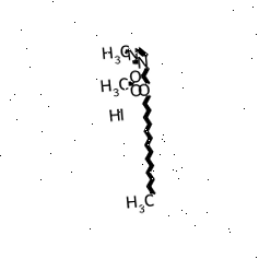 CCCCCCCCCCCCCCCCOCC(CN1C=CN(C)C1)OC(C)=O.I